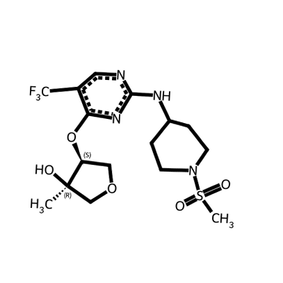 C[C@@]1(O)COC[C@@H]1Oc1nc(NC2CCN(S(C)(=O)=O)CC2)ncc1C(F)(F)F